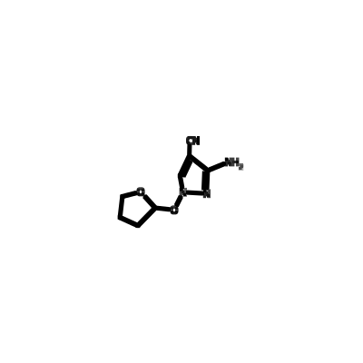 N#Cc1cn(OC2CCCO2)nc1N